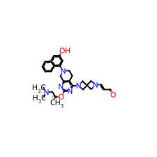 C[C@@H](CN(C)C)Oc1nc2c(c(N3CC4(CN(C=CC=O)C4)C3)n1)CCN(c1cc(O)cc3ccccc13)C2